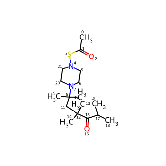 CC(=O)SN1CCN(C(C)(C)CC(C)(C)C(=O)C(C)C)CC1